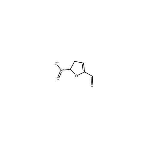 O=CC1=CCC([N+](=O)[O-])O1